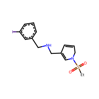 CCS(=O)(=O)N1C=C(CNCc2cccc(I)c2)C=CC1